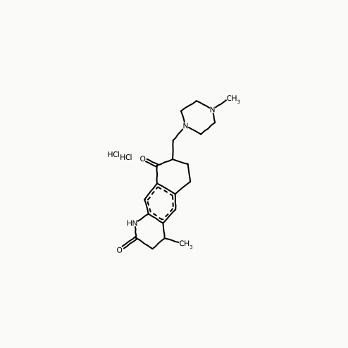 CC1CC(=O)Nc2cc3c(cc21)CCC(CN1CCN(C)CC1)C3=O.Cl.Cl